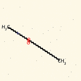 CCCCCCCC/C=C/CCCCCCCCOC(=O)CCCCCCCCCCCCCCCCCCCCCCCCCC